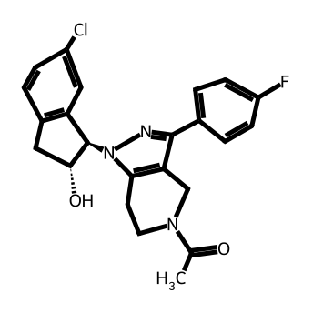 CC(=O)N1CCc2c(c(-c3ccc(F)cc3)nn2[C@@H]2c3cc(Cl)ccc3C[C@H]2O)C1